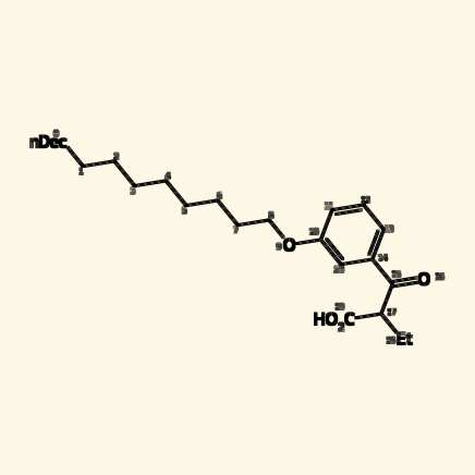 CCCCCCCCCCCCCCCCCCOc1cccc(C(=O)C(CC)C(=O)O)c1